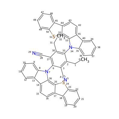 CCc1c(C#N)c(-n2c3ccccc3c3ccc4c5ccccc5sc4c32)c(C#N)c(CC)c1-n1c2ccccc2c2ccc3c4ccccc4sc3c21